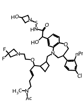 CCCc1cc(Cl)ccc1C1COc2ccc(C(O)C(=O)NSN3CC(O)C3)cc2N(CC2CCC2C(/C=C/CCN(C)C(C)=O)OCCN2CC(F)(F)C2)C1